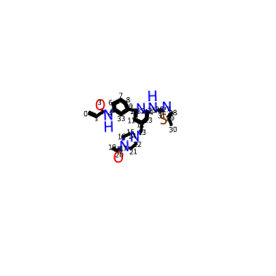 C=CC(=O)Nc1cccc(-c2cc(CN3CCN(C(C)=O)CC3)cc(Nc3ncc(C)s3)n2)c1